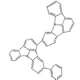 c1ccc(-c2ccc3c(c2)c2c(-c4ccc5c6cccc7c8ccccc8n(c5c4)c76)ccc4c5ccccc5n3c42)cc1